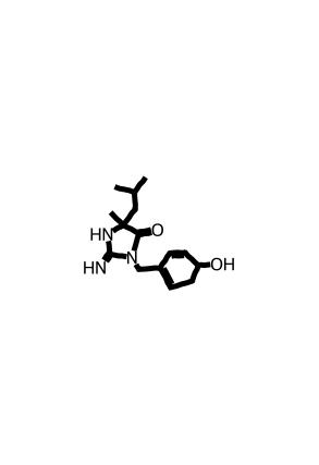 CC(C)CC1(C)NC(=N)N(CC2=CCC(O)C=C2)C1=O